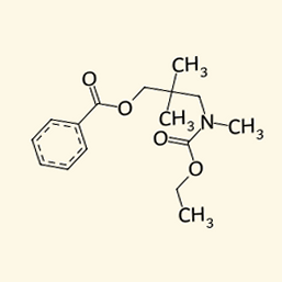 CCOC(=O)N(C)CC(C)(C)COC(=O)c1ccccc1